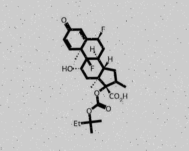 CCC(C)(C)OC(=O)O[C@@]1(C(=O)O)C(C)C[C@H]2[C@@H]3C[C@H](F)C4=CC(=O)C=C[C@]4(C)C3(F)[C@@H](O)C[C@@]21C